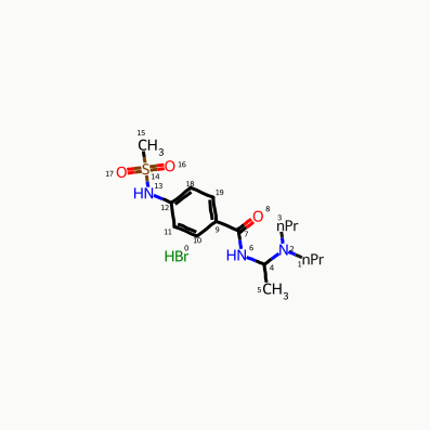 Br.CCCN(CCC)C(C)NC(=O)c1ccc(NS(C)(=O)=O)cc1